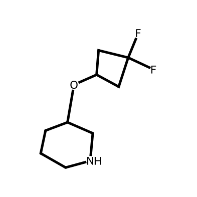 FC1(F)CC(OC2CCCNC2)C1